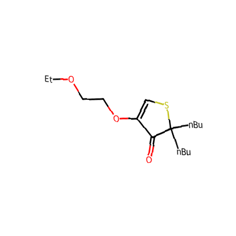 CCCCC1(CCCC)SC=C(OCCOCC)C1=O